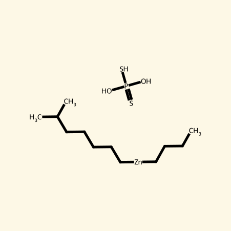 CCC[CH2][Zn][CH2]CCCCC(C)C.OP(O)(=S)S